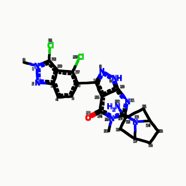 Cn1nc2ccc(-c3n[nH]c4nc(N5C6CCC5CC(N)C6)n(C)c(=O)c34)c(Cl)c2c1Cl